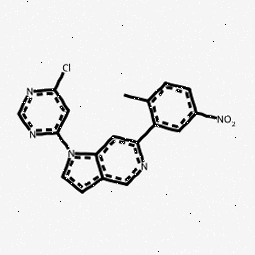 Cc1ccc([N+](=O)[O-])cc1-c1cc2c(ccn2-c2cc(Cl)ncn2)cn1